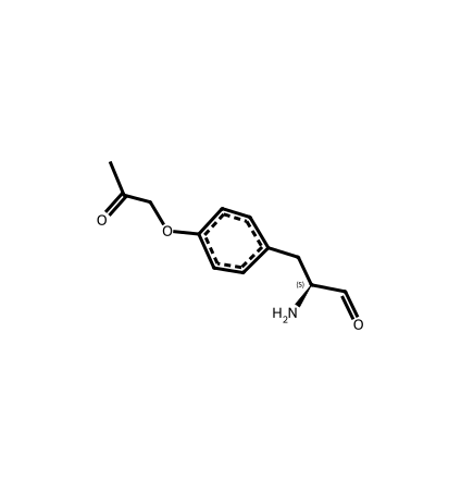 CC(=O)COc1ccc(C[C@H](N)C=O)cc1